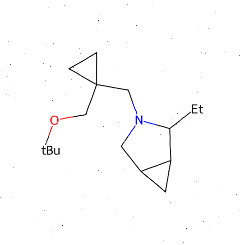 CCC1C2CC2CN1CC1(COC(C)(C)C)CC1